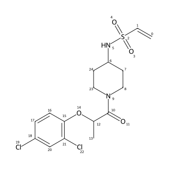 C=CS(=O)(=O)NC1CCN(C(=O)C(C)Oc2ccc(Cl)cc2Cl)CC1